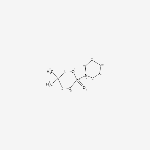 CC1(C)COP(=O)(N2CCCCC2)OC1